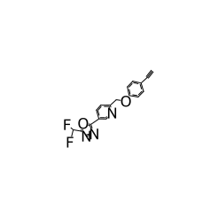 C#Cc1ccc(OCc2ccc(-c3nnc(C(F)F)o3)cn2)cc1